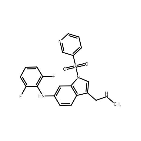 CNCc1cn(S(=O)(=O)c2cccnc2)c2cc(Nc3c(F)cccc3F)ccc12